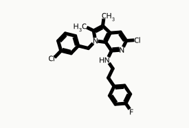 Cc1c(C)n(Cc2cccc(Cl)c2)c2c(NCCc3ccc(F)cc3)nc(Cl)cc12